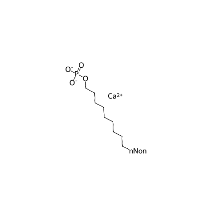 CCCCCCCCCCCCCCCCCCOP(=O)([O-])[O-].[Ca+2]